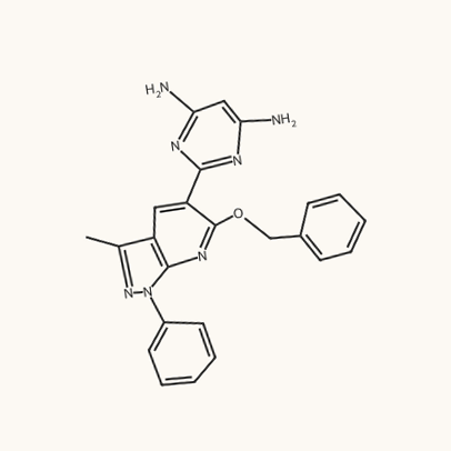 Cc1nn(-c2ccccc2)c2nc(OCc3ccccc3)c(-c3nc(N)cc(N)n3)cc12